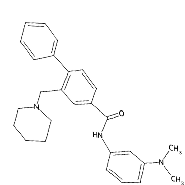 CN(C)c1cccc(NC(=O)c2ccc(-c3ccccc3)c(CN3CCCCC3)c2)c1